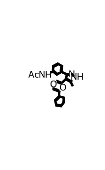 CC(=O)Nc1cccc(-c2n[nH]c(C)c2C2=COC=C(C3=CC=CCC3)O2)c1